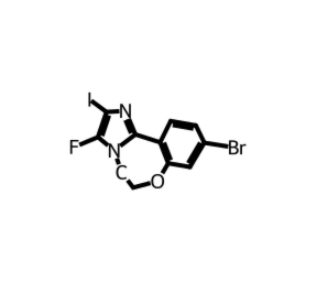 Fc1c(I)nc2n1CCOc1cc(Br)ccc1-2